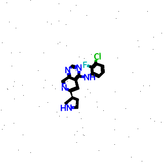 Fc1c(Cl)cccc1Nc1ncnc2cnc([C@H]3CCNC3)cc12